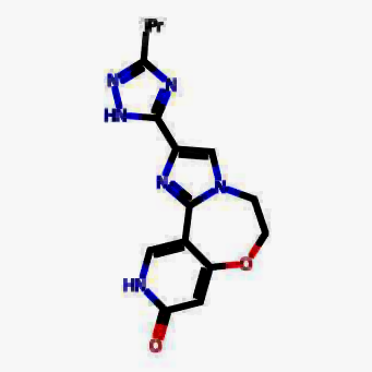 CC(C)c1n[nH]c(-c2cn3c(n2)-c2c[nH]c(=O)cc2OCC3)n1